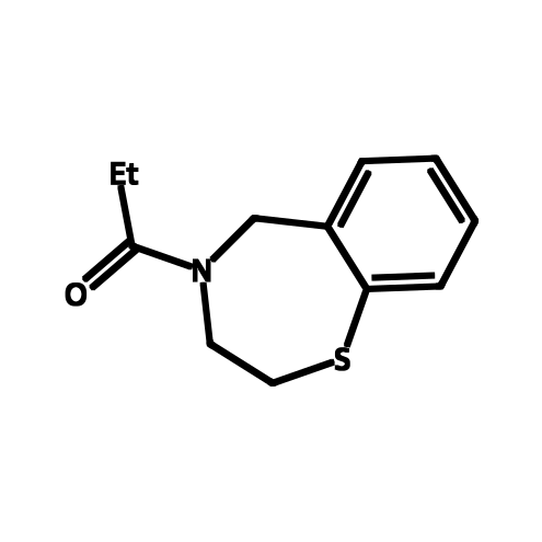 CCC(=O)N1CCSc2ccccc2C1